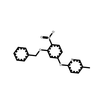 Cc1ccc(Oc2ccc([N+](=O)[O-])c(OCc3ccccc3)c2)nc1